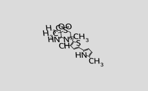 Cc1ccc(-c2cc(Cl)c([C@]3(C)CS(=O)(=O)C(C)(C)C(=N)N3)s2)[nH]1